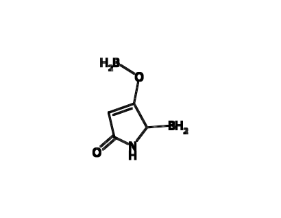 BOC1=CC(=O)NC1B